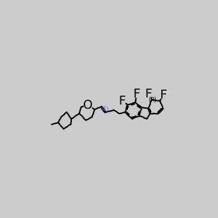 CC1CCC(C2CCC(/C=C/CCc3cc4c(c(F)c3F)C3=C(C=CC(F)[C@@H]3F)C4)OC2)CC1